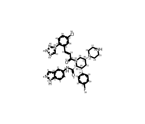 O=C(Nc1ccc2[nH]ncc2c1)[C@H]1[C@@H](c2ccc(F)cc2)C[C@@H](N2CCNCC2)CN1C(=O)C=Cc1cc(Cl)ccc1-n1cnnn1